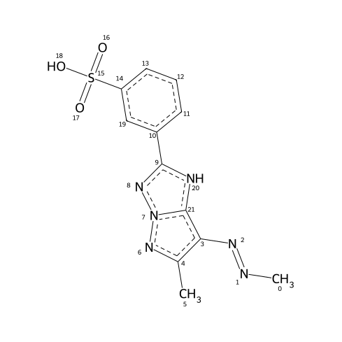 C/N=N/c1c(C)nn2nc(-c3cccc(S(=O)(=O)O)c3)[nH]c12